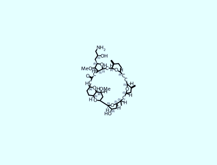 C=C1C[C@@H]2C[C@H](C)[C@@H]3C[C@@H](O)[C@H](O3)C3C[C@@H](OC)[C@H]4O[C@H](CC[C@@H]4O3)CC(=O)C[C@@H]3[C@@H](OC)[C@@H](C[C@H](O)CN)O[C@H]3C[C@H]3O[C@H](CCC3=C)CC[C@@H]1O2